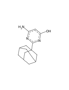 Nc1cc(O)nc(C23CC4CC(CC(C4)C2)C3)n1